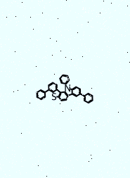 c1ccc(-c2ccc3c(c2)c2ccc4sc5c(-c6ccccc6)cccc5c4c2n3-c2ccccc2)cc1